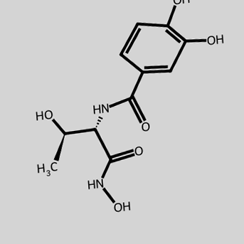 C[C@@H](O)[C@H](NC(=O)c1ccc(O)c(O)c1)C(=O)NO